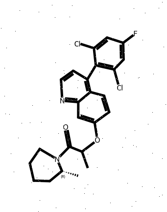 CC(Oc1ccc2c(-c3c(Cl)cc(F)cc3Cl)ccnc2c1)C(=O)N1CCCC[C@H]1C